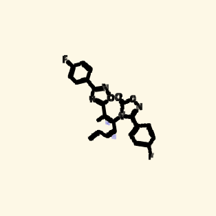 C=C/C=C\C(=C(/C)c1nc(-c2ccc(F)cc2)no1)n1c(-c2ccc(F)cc2)noc1=O